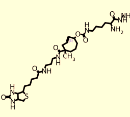 CC1(C(=O)NCCCNC(=O)CCCCC2SCC3NC(=O)NC32)C/C=C/C(OC(=O)NCCCCC(N)C(=O)NN)CCC1